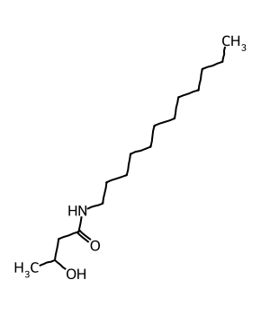 CCCCCCCCCCCCNC(=O)CC(C)O